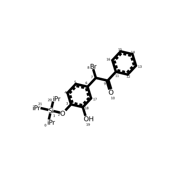 CC(C)[Si](Oc1ccc(C(Br)C(=O)c2ccccc2)cc1O)(C(C)C)C(C)C